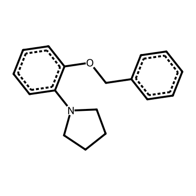 c1ccc(COc2ccccc2N2CCCC2)cc1